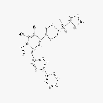 Nc1c(Br)c(C2CCN(S(=O)(=O)c3ncn[nH]3)CC2)nc2c(-c3ccc(-c4ccccc4)nc3)cnn12